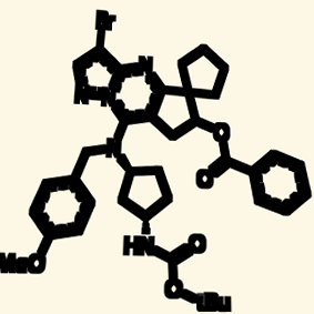 COc1ccc(CN(c2c3c(nc4c(Br)cnn24)C2(CCCC2)C(OC(=O)c2ccccc2)C3)[C@H]2CC[C@H](NC(=O)OC(C)(C)C)C2)cc1